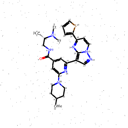 CCN(CC)[C@@H](C)CNC(=O)c1cc(-c2cnn3ccc(-c4cccs4)nc23)nc(N2CCC(OC)CC2)c1